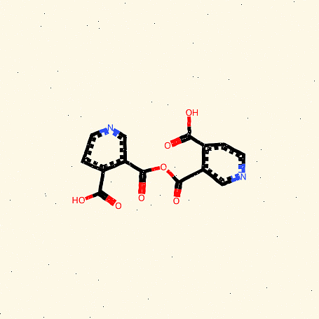 O=C(O)c1ccncc1C(=O)OC(=O)c1cnccc1C(=O)O